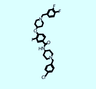 O=C(NC1CCN(Cc2ccc(Cl)cc2)CC1)c1ccc(OC2CCN(Cc3ccc(F)c(F)c3)CC2)c(I)c1